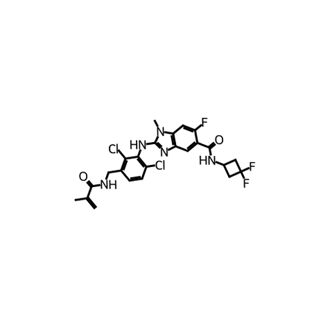 C=C(C)C(=O)NCc1ccc(Cl)c(Nc2nc3cc(C(=O)NC4CC(F)(F)C4)c(F)cc3n2C)c1Cl